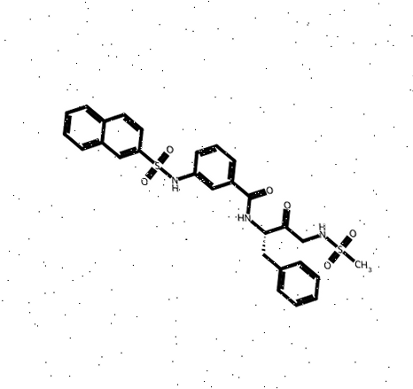 CS(=O)(=O)NCC(=O)[C@H](Cc1ccccc1)NC(=O)c1cccc(NS(=O)(=O)c2ccc3ccccc3c2)c1